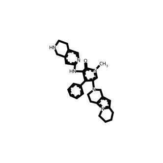 Cn1cc(N2CCc3c(cc4n3CCCC4)C2)c(-c2ccccc2)c(Nc2cc3c(cn2)CCNC3)c1=O